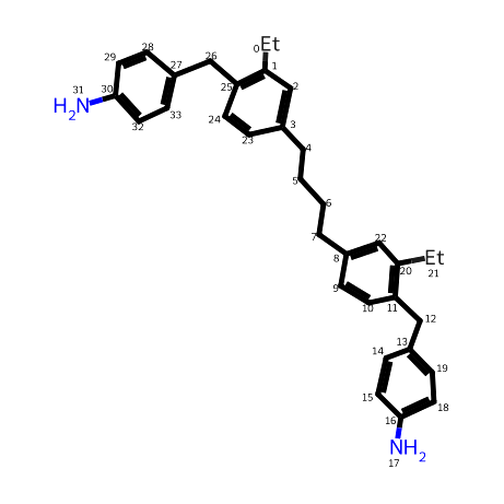 CCc1cc(CCCCc2ccc(Cc3ccc(N)cc3)c(CC)c2)ccc1Cc1ccc(N)cc1